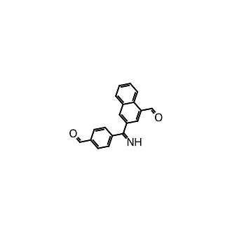 N=C(c1ccc(C=O)cc1)c1cc(C=O)c2ccccc2c1